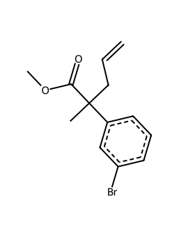 C=CCC(C)(C(=O)OC)c1cccc(Br)c1